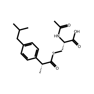 CC(=O)N[C@@H](CSC(=O)[C@H](C)c1ccc(CC(C)C)cc1)C(=O)O